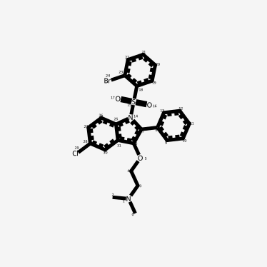 CN(C)CCOc1c(-c2ccccc2)n(S(=O)(=O)c2ccccc2Br)c2ccc(Cl)cc12